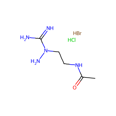 Br.CC(=O)NCCN(N)C(=N)N.Cl